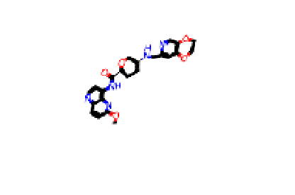 COc1ccc2nccc(NC(=O)[C@@H]3CC[C@@H](NCc4cc5c(cn4)OCCO5)CO3)c2n1